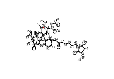 CC[C@H](C)[C@@H]([C@@H](CC(C)=O)OC)N(C)C(=O)[C@@H](NC(=O)[C@H](C(C)C)N(C)C(=O)OCc1ccc(CC(=O)CCCCCN2C(=O)CC(SC)C2=O)cc1)C(C)C